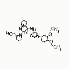 CCOc1ccc(-n2cnc(Nc3nc(N4CCC[C@H]4CO)nn4cccc34)c2)cc1OCC